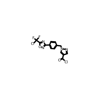 O=C(Cl)c1cnn(Cc2ccc(-c3noc(C(F)(F)Cl)n3)cc2)c1